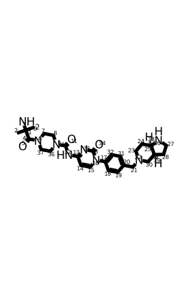 CC(C)(N)C(=O)N1CCN(C(=O)Nc2ccn(-c3ccc(CN4CC[C@H]5NCC[C@H]5C4)cc3)c(=O)n2)CC1